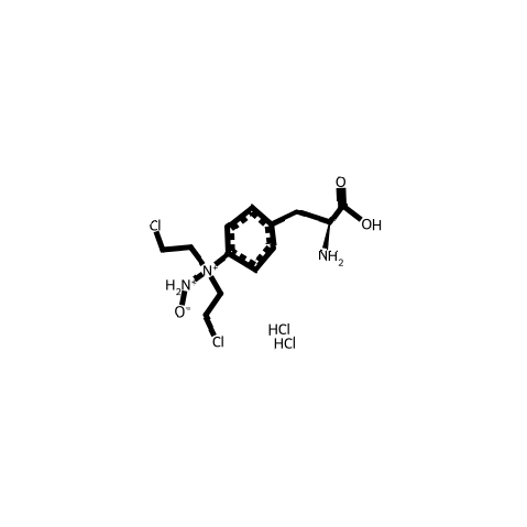 Cl.Cl.N[C@@H](Cc1ccc([N+](CCCl)(CCCl)[NH2+][O-])cc1)C(=O)O